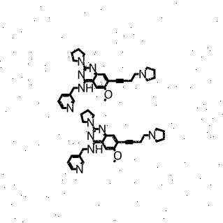 COc1cc2c(NCc3cccnc3)nc(N3CCCC3)nc2cc1C#CCCN1CCCC1.COc1cc2c(NCc3cccnc3)nc(N3CCCC3)nc2cc1C#CCCN1CCCC1